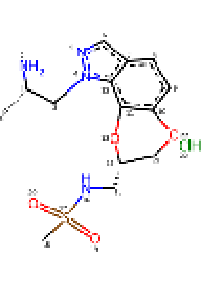 C[C@H](N)Cn1ncc2ccc3c(c21)O[C@@H](CNS(C)(=O)=O)CO3.Cl